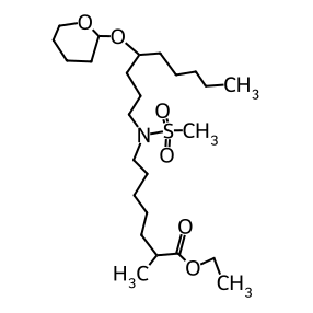 CCCCCC(CCCN(CCCCCC(C)C(=O)OCC)S(C)(=O)=O)OC1CCCCO1